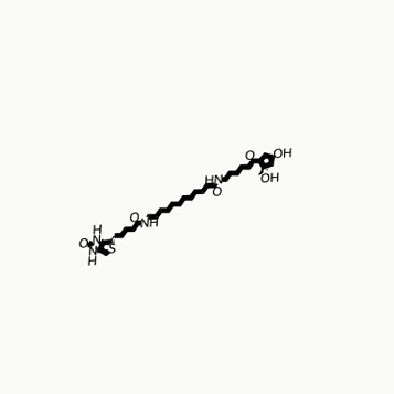 O=C(CCCCCCCCCCCNC(=O)CCCC[C@@H]1SCC2NC(=O)NC21)NCCCCCC(=O)C1C[C@H](O)C[C@H]1CO